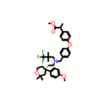 COC(=O)C(C)c1ccc(Oc2ccc(CN(CC[C@@]3(c4ccc(OC)cc4)CCOC(C)(C)C3)CC(C)(C)C(F)(F)F)cc2)cc1